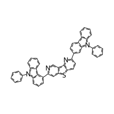 c1ccc(-n2c3ccccc3c3ccc(-c4ccc5sc6cc(-c7cccc8c7c7ccccc7n8-c7ccccc7)ncc6c5n4)cc32)cc1